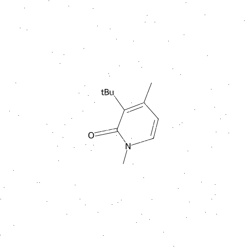 Cc1ccn(C)c(=O)c1C(C)(C)C